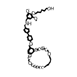 COc1cc(CNCc2ccc(-c3ccc(OCC4=C=C=C5OCCOCCOCCCC=CCCCOCCOCCOC5C4)cc3)cc2)cc(OC)c1OCCCCCCO